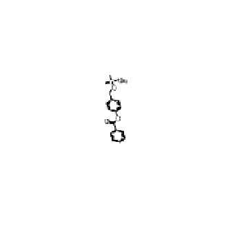 CC(C)(C)[Si](C)(C)OCc1ccc(OC(=O)c2ccccc2)cc1